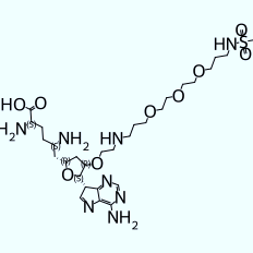 CS(=O)(=O)NCCCOCCOCCOCCCNCCO[C@@H]1C[C@@H](C[C@@H](N)CC[C@H](N)C(=O)O)O[C@H]1C1C=Nc2c(N)ncnc21